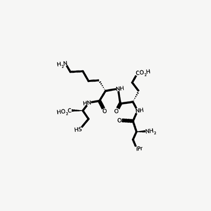 CC(C)C[C@H](N)C(=O)N[C@@H](CCC(=O)O)C(=O)N[C@@H](CCCCN)C(=O)N[C@@H](CS)C(=O)O